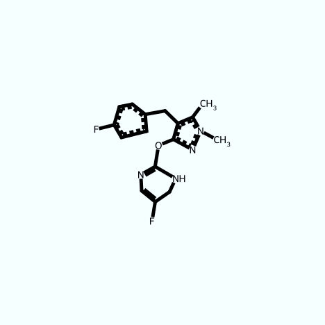 Cc1c(Cc2ccc(F)cc2)c(OC2=NC=C(F)CN2)nn1C